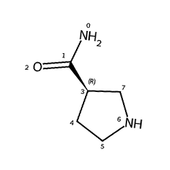 NC(=O)[C@@H]1CCNC1